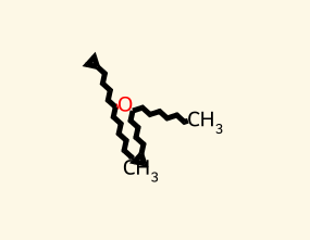 CCCCCCCC(CCCCC1CC1)OC(CCCCCCC)CCCCC1CC1